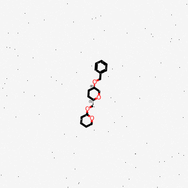 c1ccc(CO[C@@H]2CC[C@@H](COC3CCCCO3)OC2)cc1